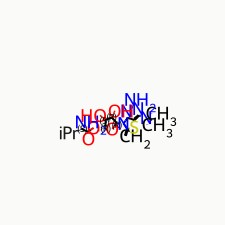 C=C1Sc2c(N(C)C)nc(N)nc2N1[C@@H]1O[C@H](COC(=O)[C@@H](N)C(C)C)[C@@H](O)[C@H]1O